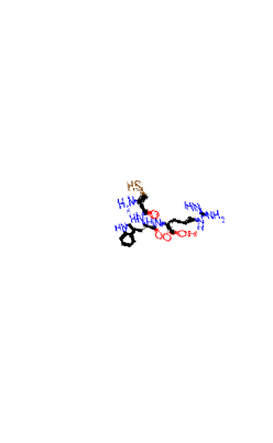 N=C(N)NCCC[C@H](NC(=O)[C@H](Cc1c[nH]c2ccccc12)NC(=O)[C@@H](N)CS)C(=O)O